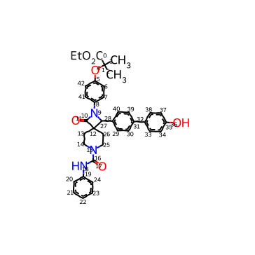 CCOC(=O)C(C)(C)Oc1ccc(N2C(=O)C3(CCN(C(=O)Nc4ccccc4)CC3)C2c2ccc(-c3ccc(O)cc3)cc2)cc1